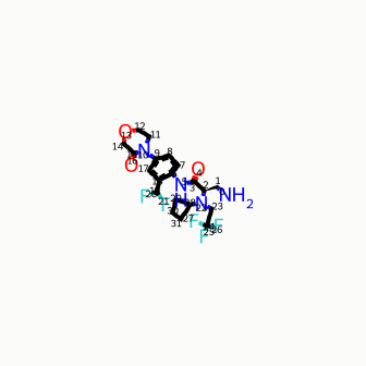 NC[C@H](C(=O)Nc1ccc(N2CCOCC2=O)cc1C(F)F)N(CC(F)(F)F)C1CCC1